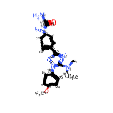 CON(C)c1nc(-c2ccc(NC(N)=O)cc2)nn1-c1ccc(OC(F)(F)F)cc1